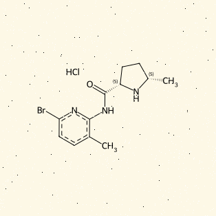 Cc1ccc(Br)nc1NC(=O)[C@@H]1CC[C@H](C)N1.Cl